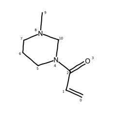 C=CC(=O)N1CCCN(C)C1